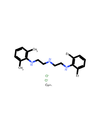 CCc1cccc(CC)c1NCCNCCNc1c(C)cccc1C.[Cl-].[Cl-].[Co+2]